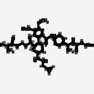 C=Cc1cc(C(=O)Nc2ccc(C(N)NC(=O)OCCCCCC)cc2)c(-c2ccc(C(=O)NCC3CC3)nc2C(=O)OCOC(=O)[C@@H](N)C(C)C)cc1OC